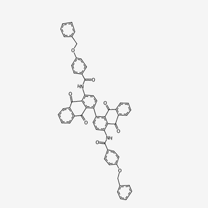 O=C(Nc1ccc(-c2ccc(NC(=O)c3ccc(OCc4ccccc4)cc3)c3c2C(=O)c2ccccc2C3=O)c2c1C(=O)c1ccccc1C2=O)c1ccc(OCc2ccccc2)cc1